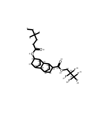 CCC(C)(C)CCC(=O)OC1CC2CC1C1C3CC(CC3C(=O)OCC(F)(F)C(F)(F)F)C21